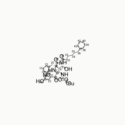 CC(C)(C)OC(=O)NCC(CO)[C@@](Cc1ccccc1)(NCC(=O)c1cc(O)no1)C(=O)NC(=O)CCCCCc1ccccc1